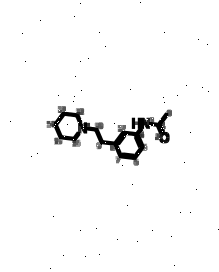 CC(=O)Nc1cccc(CCN2CCCCC2)c1